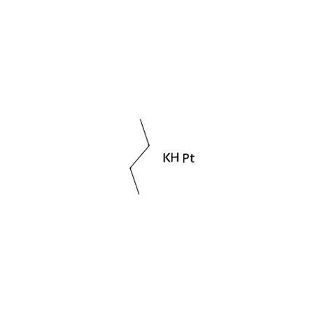 CCCC.[KH].[Pt]